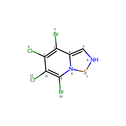 ClC1=C(Br)C2=CNSN2C(Br)=C1Cl